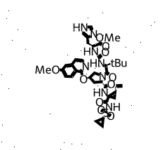 C=C[C@@H]1C[C@]1(NC(=O)[C@@H]1C[C@@H](Oc2nccc3cc(OC)ccc23)CN1C(=O)[C@@H](NC(=O)N[C@@H](Cc1c[nH]cn1)C(=O)OC)C(C)(C)C)C(=O)NS(=O)(=O)C1CC1